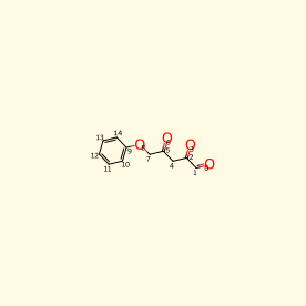 O=CC(=O)CC(=O)COc1ccccc1